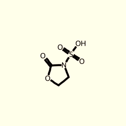 O=C1OCCN1S(=O)(=O)O